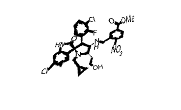 COC(=O)c1ccc([N+](=O)[O-])c(CN[C@@H]2[C@H](CCO)N(CC3CC3)[C@@]3(C(=O)Nc4cc(Cl)ccc43)[C@H]2c2cccc(Cl)c2F)c1